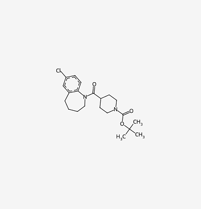 CC(C)(C)OC(=O)N1CCC(C(=O)N2CCCCc3cc(Cl)ccc32)CC1